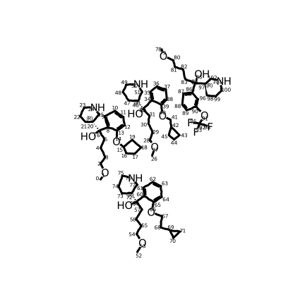 COCCCCC(O)(c1ccccc1OC1CCCC1)[C@@H]1CCCNC1.COCCCCC(O)(c1ccccc1OCC1CCC1)[C@@H]1CCCNC1.COCCCCC(O)(c1ccccc1OCCC1CC1)[C@@H]1CCCNC1.COCCCC[C@@](O)(c1cccc(OC(F)(F)F)c1)[C@@H]1CCCNC1